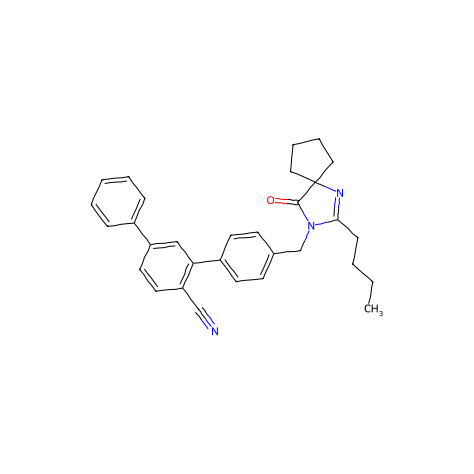 CCCCC1=NC2(CCCC2)C(=O)N1Cc1ccc(-c2cc(-c3ccccc3)ccc2C#N)cc1